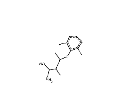 Cc1cccc(C)c1OC(C)C(C)C(N)O